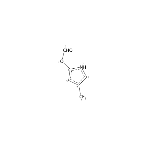 O=COc1cc(C(F)(F)F)c[nH]1